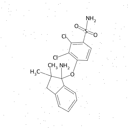 CC1(C)Cc2ccccc2C1(N)Oc1ccc(S(N)(=O)=O)c(Cl)c1Cl